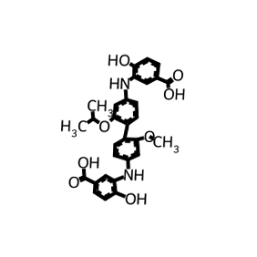 COc1cc(Nc2cc(C(=O)O)ccc2O)ccc1-c1ccc(Nc2cc(C(=O)O)ccc2O)cc1OC(C)C